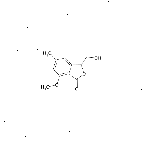 COc1cc(C)cc2c1C(=O)OC2CO